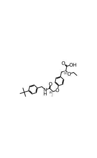 CCO[C@@H](Cc1ccc(O[C@H](C)C(=O)NCc2ccc(C(C)(C)C)cc2)cc1)C(=O)O